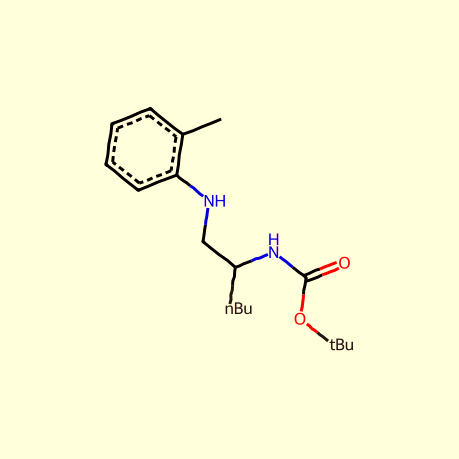 CCCCC(CNc1ccccc1C)NC(=O)OC(C)(C)C